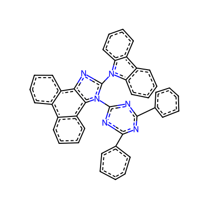 c1ccc(-c2nc(-c3ccccc3)nc(-n3c(-n4c5ccccc5c5ccccc54)nc4c5ccccc5c5ccccc5c43)n2)cc1